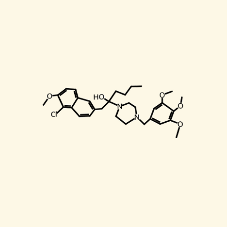 CCCCC(O)(Cc1ccc2c(Cl)c(OC)ccc2c1)N1CCN(Cc2cc(OC)c(OC)c(OC)c2)CC1